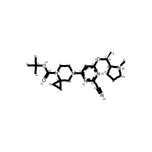 C[C@H](Oc1cc(N2CCN(C(=O)OC(C)(C)C)C3(CC3)C2)nc(C#N)n1)C1CCCN1C